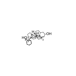 C[C@]12C=CC(O)CC1CC[C@@H]1[C@H]2CC[C@]2(C)C(O)(c3ccccc3)CC[C@@]12O